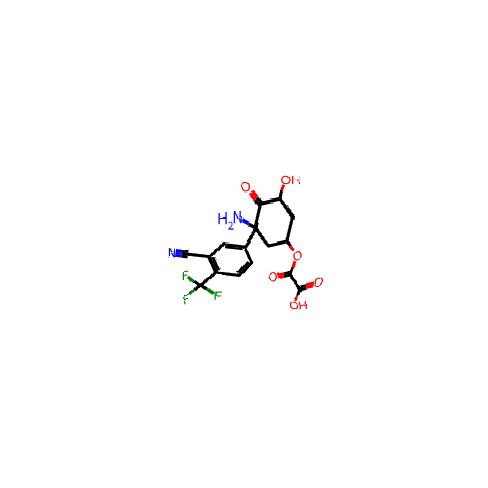 N#Cc1cc(C2(N)CC(OC(=O)C(=O)O)CC(O)C2=O)ccc1C(F)(F)F